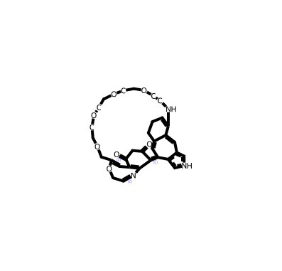 O=C1CC(=O)/C2=C3\C=C4CCC=C(NCCOCCOCCOCCOC/C5=C/C1=C2/N=C\CO5)C4=Cc1c[nH]cc13